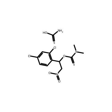 CN(C)C(=S)OC(C[N+](=O)[O-])c1ccc(Cl)cc1Cl.NC(O)=S